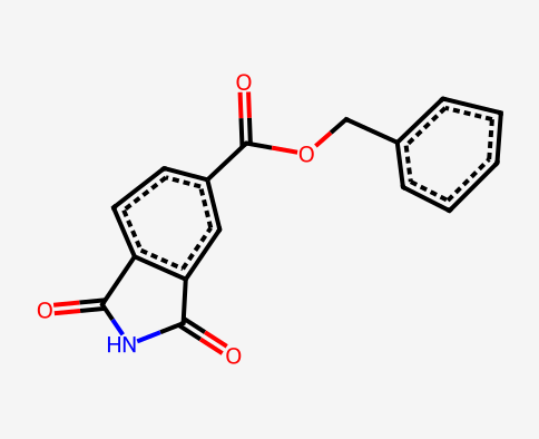 O=C(OCc1ccccc1)c1ccc2c(c1)C(=O)NC2=O